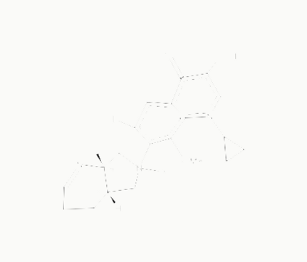 COc1c([N+]2([O-])C[C@@H]3CCC=N[C@@H]3C2)c(F)cc2c(=O)c(C(=O)O)cn(C3CC3)c12